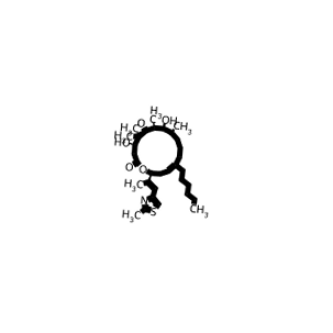 CCCCCC/C1=C/C[C@@H](/C(C)=C/c2csc(C)n2)OC(=O)C[C@H](O)C(C)(C)C(=O)[C@H](C)[C@@H](O)[C@@H](C)CCC1